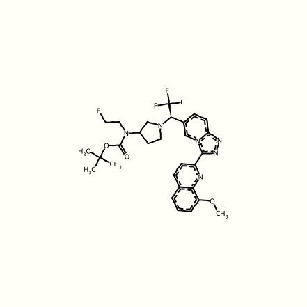 COc1cccc2ccc(-c3nnc4ccc([C@@H](N5CCC(N(CCF)C(=O)OC(C)(C)C)C5)C(F)(F)F)cn34)nc12